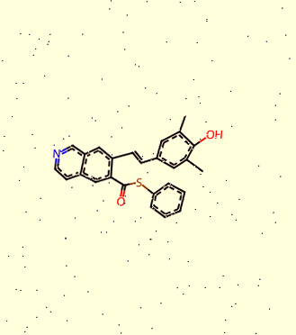 Cc1cc(/C=C/c2cc3cnccc3cc2C(=O)Sc2ccccc2)cc(C)c1O